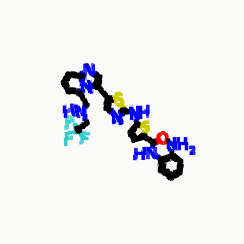 Nc1ccccc1NC(=O)c1ccc(Nc2ncc(-c3cnc4cccc(CNCC(F)(F)F)n34)s2)s1